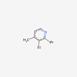 CCc1c(C)ccnc1C(C)C